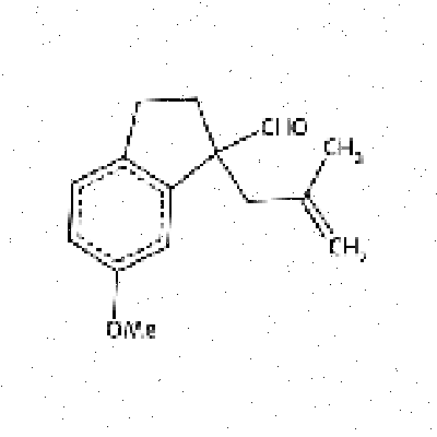 C=C(C)CC1(C=O)CCc2ccc(OC)cc21